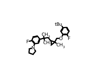 CC(C)(C)c1ccc(F)c(OCC2(C)CC2CC(C)(C)c2ccc(F)c(N3CCCC3)c2)c1